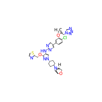 C[C@@H](Cn1cnnn1)Oc1cc(-c2cnc(Nc3cn([C@H]4CC[C@H](N5C=C6C[C@@H]5CO6)CC4)nc3OCc3nccs3)nc2)ccc1Cl